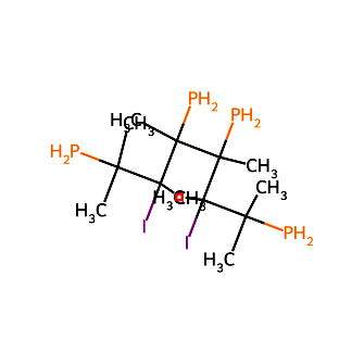 CC(C)(P)C(C)(I)C(C)(P)C(C)(P)C(C)(I)C(C)(C)P